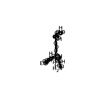 CCOP(=O)(O)C(F)(F)c1ccc2[nH]c(C(=O)N[C@H]3CN(CCOCCOCCOCCNc4cccc5c4C(=O)N(C4CCC(=O)NC4=O)C5=O)CC[C@H]4CC[C@@H](C(=O)NCCNC(N)=O)N4C3=O)cc2c1